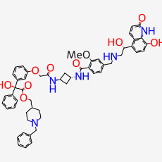 COc1cc(CNC[C@H](O)c2ccc(O)c3[nH]c(=O)ccc23)ccc1C(=O)N[C@H]1C[C@H](NC(=O)COc2cccc([C@](O)(C(=O)OCC3CCN(Cc4ccccc4)CC3)c3ccccc3)c2)C1